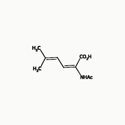 CC(=O)NC(=CC=C(C)C)C(=O)O